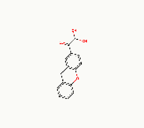 O=C(c1ccc2c(c1)Cc1ccccc1O2)C(O)O